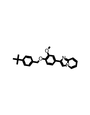 COc1cc(-c2cn3ccccc3n2)ccc1OCc1ccc(C(C)(C)C)cc1